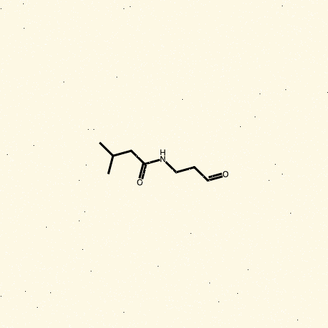 CC(C)CC(=O)NCCC=O